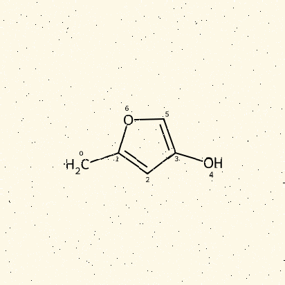 [CH2]c1cc(O)co1